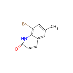 Cc1cc(Br)c2[nH]c(=O)ccc2c1